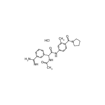 CC(=O)NC(C(=O)Nc1ccc(C(=O)N2CCCC2)c(C)c1)c1cccc(C(=N)N)c1.Cl